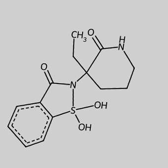 CCC1(N2C(=O)c3ccccc3S2(O)O)CCCNC1=O